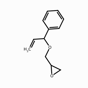 C=CC(OCC1CO1)c1ccccc1